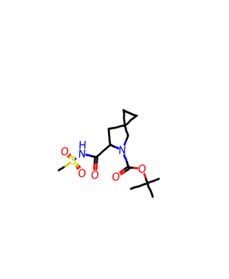 CC(C)(C)OC(=O)N1CC2(CC2)CC1C(=O)NS(C)(=O)=O